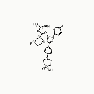 C[C@@H](C#N)NC(=O)[C@@H]1C[C@@H](F)CC[C@H]1c1nn(-c2ccc(F)cn2)cc1-c1ccc(N2CCS(=N)(=O)CC2)cc1